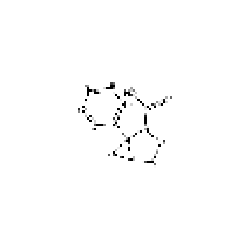 O=C(O)C1CCC2CC21c1ccn[c]n1